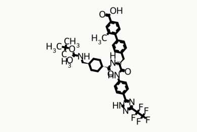 Cc1cc(C(=O)O)ccc1-c1ccc(C[C@H](NC(=O)[C@H]2CC[C@H](CNC(=O)OC(C)(C)C)CC2)C(=O)Nc2ccc(-c3nc(C(F)(F)C(F)(F)F)n[nH]3)cc2)cc1